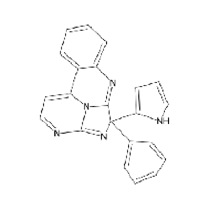 C1=NC2=NC(c3ccccc3)(c3ccc[nH]3)C3=Nc4ccccc4C(=C1)N23